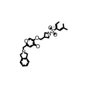 C/C=C(\C=C(C)C)S(=O)(=O)N1CC(COc2coc(CN3Cc4ccccc4C3)cc2=O)C1